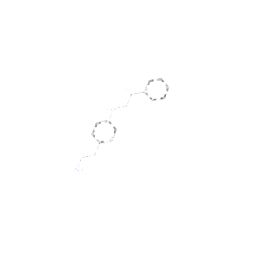 NCCc1ccc(NCC(O)c2ccccc2)cc1